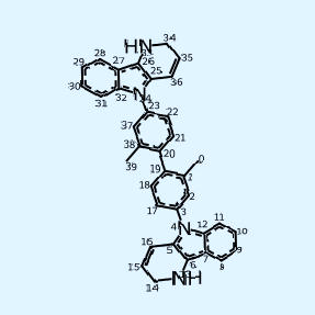 Cc1cc(-n2c3c(c4ccccc42)NCC=C3)ccc1-c1ccc(-n2c3c(c4ccccc42)NCC=C3)cc1C